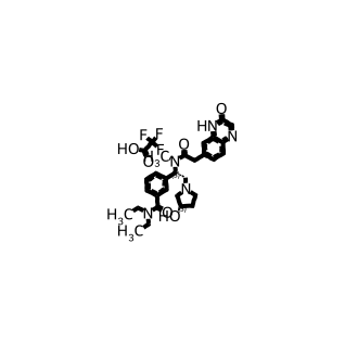 CCN(CC)C(=O)c1cccc([C@@H](CN2CC[C@H](O)C2)N(C)C(=O)Cc2ccc3ncc(=O)[nH]c3c2)c1.O=C(O)C(F)(F)F